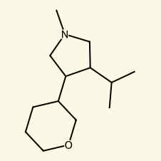 CC(C)C1CN(C)CC1C1CCCOC1